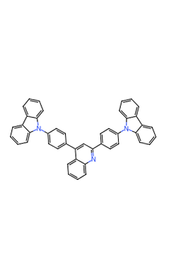 c1ccc2c(-c3ccc(-n4c5ccccc5c5ccccc54)cc3)cc(-c3ccc(-n4c5ccccc5c5ccccc54)cc3)nc2c1